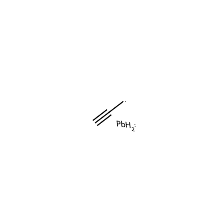 C#C[CH2].[PbH2]